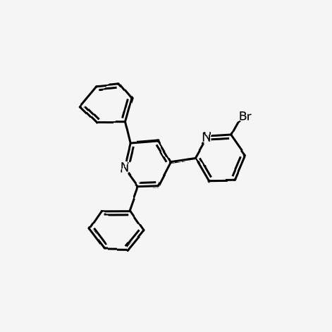 Brc1cccc(-c2cc(-c3ccccc3)nc(-c3ccccc3)c2)n1